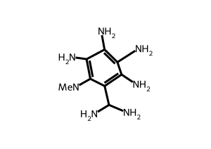 CNc1c(N)c(N)c(N)c(N)c1C(N)N